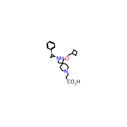 O=C(O)CCN1CCC(CN[C@@H]2C[C@H]2c2ccccc2)(COCC2CCC2)CC1